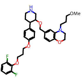 COCCCN1CCOc2ccc(COC3CNCCC3c3ccc(OCCCOc4c(F)cccc4F)cc3)cc21